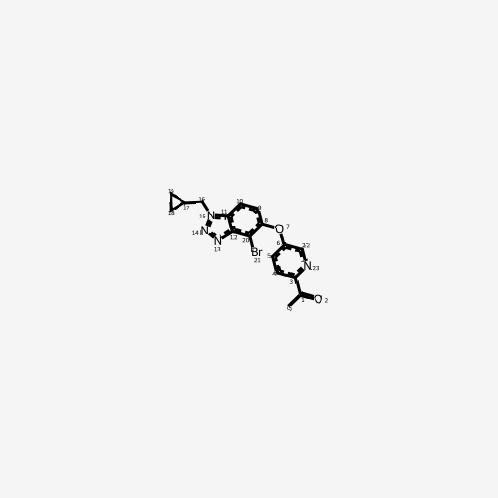 CC(=O)c1ccc(Oc2ccc3c(nnn3CC3CC3)c2Br)cn1